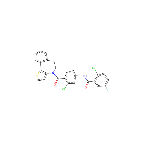 O=C(Nc1ccc(C(=O)N2CCc3ccccc3-c3sccc32)c(Cl)c1)c1cc(F)ccc1Cl